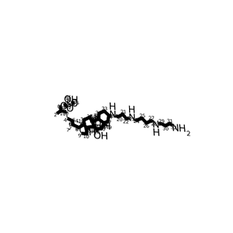 CC(C)[C@@H](CC[C@@H](C)[C@H]1CC[C@H]2[C@@H]3[C@H](O)C[C@H]4C[C@@H](NCCCNCCCCNCCCN)CC[C@]4(C)[C@H]3CC[C@]12C)OS(=O)(=O)O